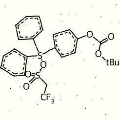 CC(C)(C)OC(=O)Oc1ccc(S(OS(=O)(=O)CC(F)(F)F)(c2ccccc2)c2ccccc2)cc1